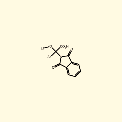 CCOC(C(C)=O)(C(=O)O)N1C(=O)c2ccccc2C1=O